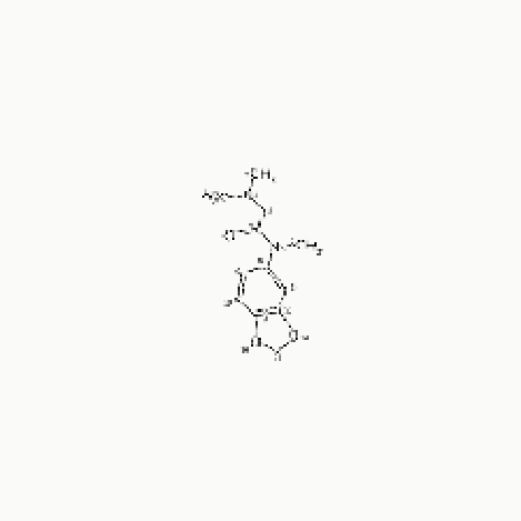 CN(C)CC(=O)N(C)c1ccc2c(c1)OCO2